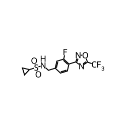 O=S(=O)(NCc1ccc(-c2noc(C(F)(F)F)n2)c(F)c1)C1CC1